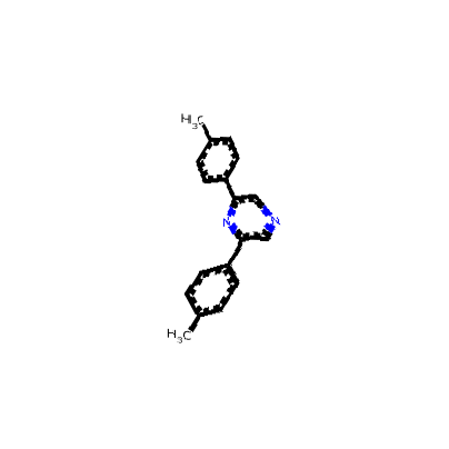 Cc1ccc(-c2cncc(-c3ccc(C)cc3)n2)cc1